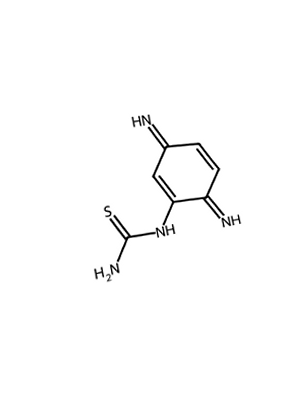 N=C1C=CC(=N)C(NC(N)=S)=C1